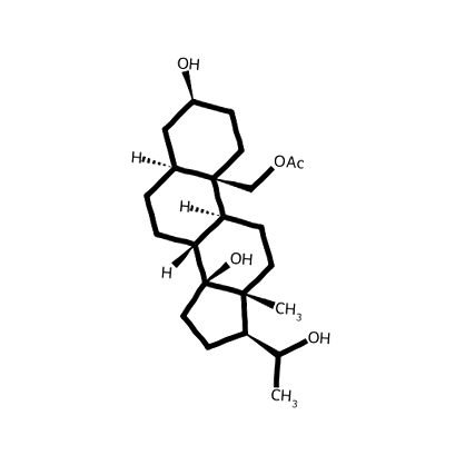 CC(=O)OC[C@]12CC[C@H](O)C[C@@H]1CC[C@@H]1[C@@H]2CC[C@]2(C)[C@@H](C(C)O)CC[C@]12O